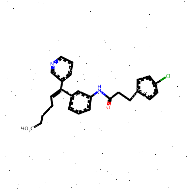 O=C(O)CCCC=C(c1cccnc1)c1cccc(NC(=O)CCc2ccc(Cl)cc2)c1